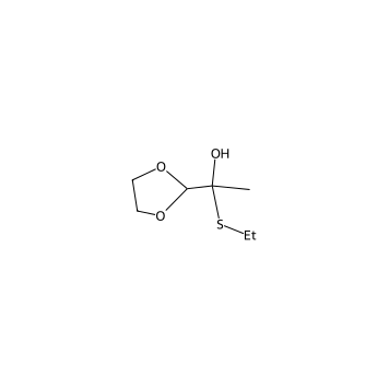 CCSC(C)(O)C1OCCO1